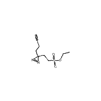 C#CCCC1(CCS(=O)(=O)OCC)N=N1